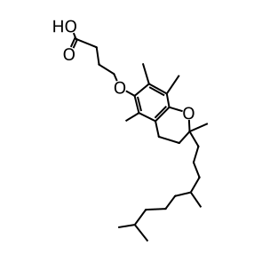 Cc1c(C)c2c(c(C)c1OCCCC(=O)O)CCC(C)(CCCC(C)CCCC(C)C)O2